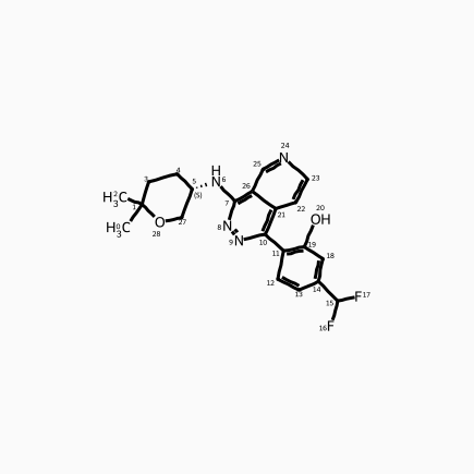 CC1(C)CC[C@H](Nc2nnc(-c3ccc(C(F)F)cc3O)c3ccncc23)CO1